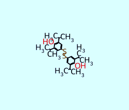 CC(C)c1cc(SSc2cc(C(C)C)c(O)c(C(C)C)c2)cc(C(C)C)c1O